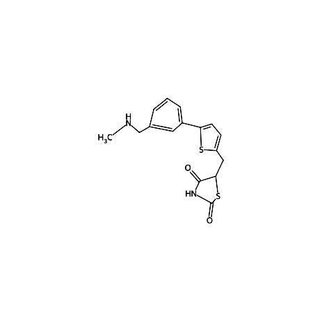 CNCc1cccc(-c2ccc(CC3SC(=O)NC3=O)s2)c1